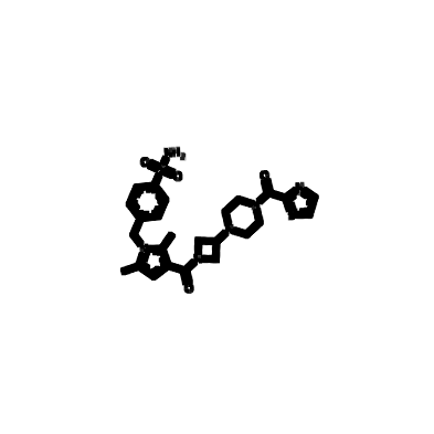 Cc1cc(C(=O)N2CC(N3CCN(C(=O)c4nccs4)CC3)C2)c(C)n1Cc1ccc(S(N)(=O)=O)cc1